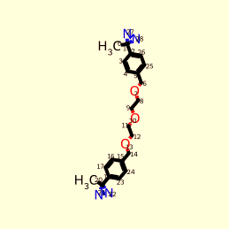 CC1(c2ccc(COCCOCCOCc3ccc(C4(C)N=N4)cc3)cc2)N=N1